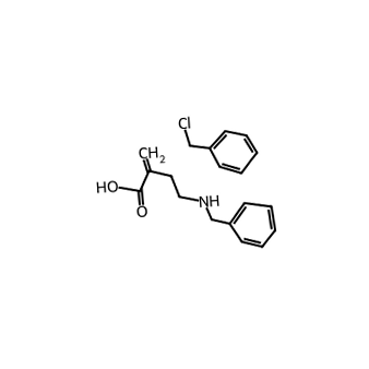 C=C(CCNCc1ccccc1)C(=O)O.ClCc1ccccc1